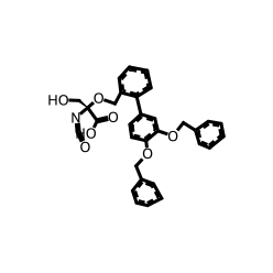 O=C=N[C@](CO)(OCc1ccccc1-c1ccc(OCc2ccccc2)c(OCc2ccccc2)c1)C(=O)O